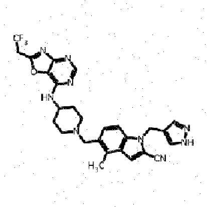 Cc1c(CN2CCC(Nc3ncnc4nc(CC(F)(F)F)oc34)CC2)ccc2c1cc(C#N)n2Cc1cn[nH]c1